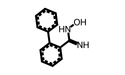 N=C(NO)c1ccccc1-c1ccccc1